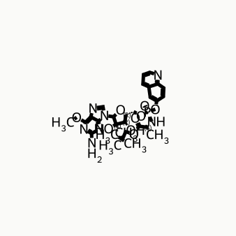 COc1nc(N)nc2c1ncn2C1O[C@H](COP(=O)(N[C@@H](C)C(=O)OCC(C)(C)C)Oc2ccc3ncccc3c2)[C@@H](O)[C@@]1(C)O